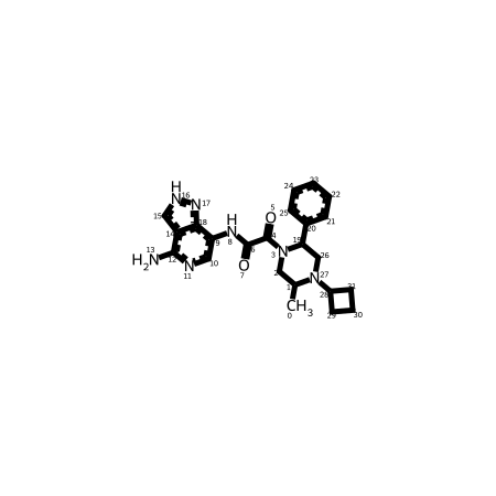 CC1CN(C(=O)C(=O)Nc2cnc(N)c3c[nH]nc23)C(c2ccccc2)CN1C1CCC1